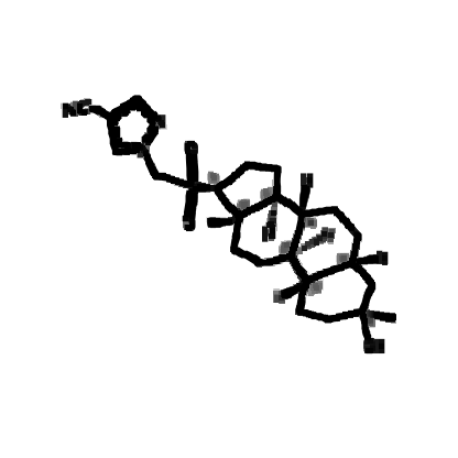 C[C@@]1(O)CC[C@H]2[C@H](CC[C@@H]3[C@@H]2CC[C@@]2(C)[C@H]3CC[C@@H]2S(=O)(=O)Cn2cc(C#N)cn2)C1